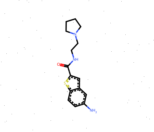 Nc1ccc2sc(C(=O)NCCN3CCCC3)cc2c1